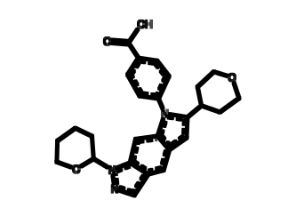 O=C(O)c1ccc(-n2c(C3CCOCC3)cc3cc4cnn(C5CCCCO5)c4cc32)cc1